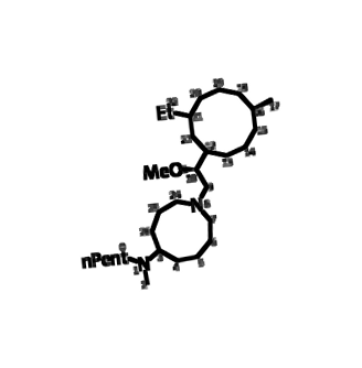 CCCCCN(C)C1CCCCN(C[C@@H](OC)C2CCC[C@H](C)CCCC(CC)C2)CCC1